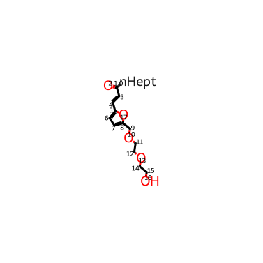 CCCCCCCC(=O)C=Cc1ccc(COCCOCCO)o1